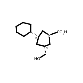 O=C(O)N1C[C@H](CO)C[C@H](C2CCCCC2)C1